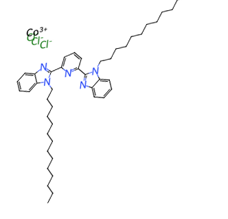 CCCCCCCCCCCCCCn1c(-c2cccc(-c3nc4ccccc4n3CCCCCCCCCCCCCC)n2)nc2ccccc21.[Cl-].[Cl-].[Cl-].[Co+3]